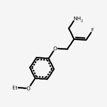 CCOc1ccc(OCC(=CF)CN)cc1